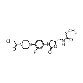 CSC(=O)NC[C@H]1CN(c2ccc(N3CCN(C(=O)CCl)CC3)c(F)c2)C(=O)O1